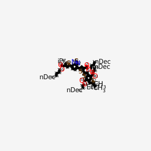 CCCCCCCCCCCCCCOC(=O)c1cc(-c2ccc(-c3cc(C(=O)OCCCCCCCCCCCCCC)c(C(C)C)s3)c3nsnc23)sc1-c1cc2c(C(=O)OCCCCCCCCCCCC)c3sc(C(C)(C)CC)cc3c(C(=O)OCCCCCCCCCCCC)c2s1